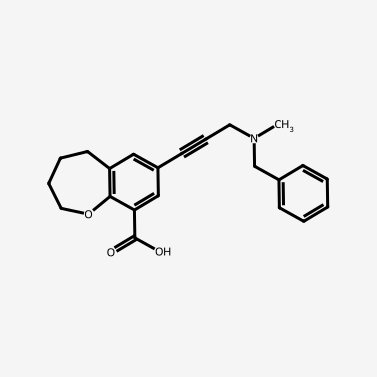 CN(CC#Cc1cc2c(c(C(=O)O)c1)OCCCC2)Cc1ccccc1